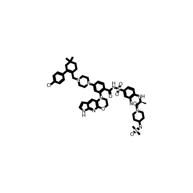 C[C@@H](CN1CCC(N=S(C)(C)=O)CC1)Nc1ccc(S(=O)(=O)NC(=O)c2ccc(N3CCN(CC4=C(c5ccc(Cl)cc5)CC(C)(C)CC4)CC3)cc2N2CCOc3nc4[nH]ccc4cc32)cc1[N+](=O)[O-]